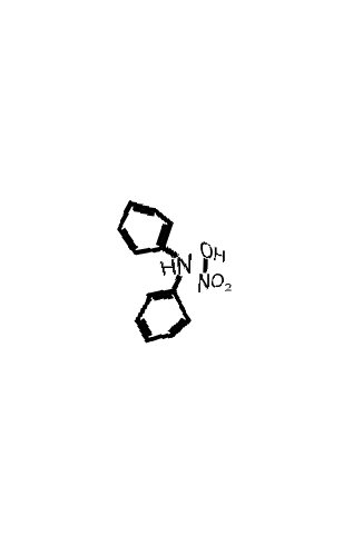 O=[N+]([O-])O.c1ccc(Nc2ccccc2)cc1